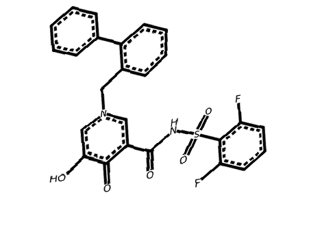 O=C(NS(=O)(=O)c1c(F)cccc1F)c1cn(Cc2ccccc2-c2ccccc2)cc(O)c1=O